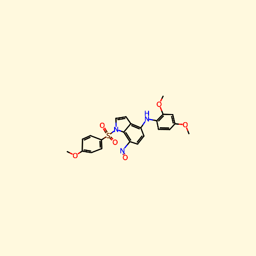 COc1ccc(S(=O)(=O)n2ccc3c(Nc4ccc(OC)cc4OC)ccc(N=O)c32)cc1